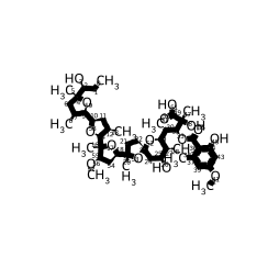 CC[C@@H](O)[C@]1(C)C[C@H](C)[C@@H]([C@H]2C[C@H](C)[C@H]([C@@]3(C)O[C@@H]([C@]4(C)CC[C@]5(C[C@H](O)[C@@H](C)[C@@H]([C@@H](C)[C@@H](OC(=O)c6c(C)cc(OC)cc6O)[C@@](C)(O)C(=O)O)O5)O4)C[C@@H]3OC)O2)O1